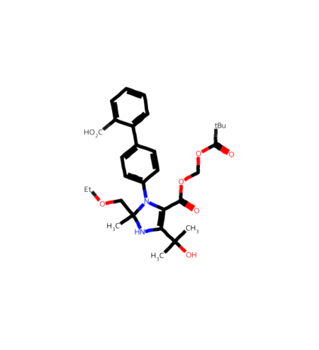 CCOCC1(C)NC(C(C)(C)O)=C(C(=O)OCOC(=O)C(C)(C)C)N1c1ccc(-c2ccccc2C(=O)O)cc1